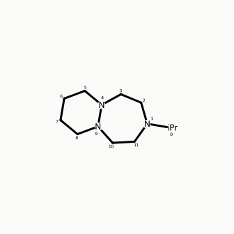 CC(C)N1CCN2CCCCN2CC1